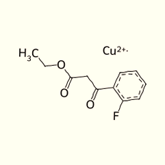 CCOC(=O)CC(=O)c1ccccc1F.[Cu+2]